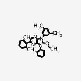 CCOC1N(c2cc(C)cc(C)c2)c2ncc(-c3c(C)cccc3C)nc2N1c1ccccc1